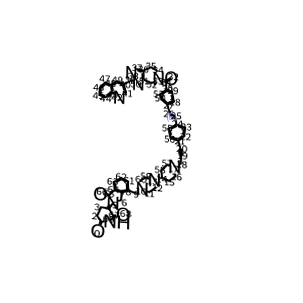 O=C1CCC(N2Cc3c(CN4CCN(C5CCN(CC#Cc6ccc(/C=C/c7ccc(C(=O)N8CCc9cnc(-c%10cnc%11ccccc%11c%10)nc9C8)cc7)cc6)CC5)CC4)cccc3C2=O)C(=O)N1